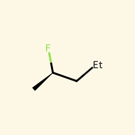 [CH2]CC[C@@H](C)F